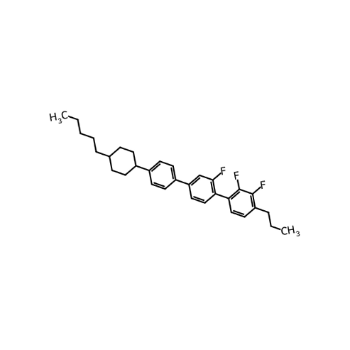 CCCCCC1CCC(c2ccc(-c3ccc(-c4ccc(CCC)c(F)c4F)c(F)c3)cc2)CC1